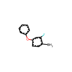 Bc1ccc(Oc2ccccc2)cc1F